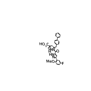 COc1ccc(F)cc1-c1cc(C(=O)N[C@H](Cc2ccc(-c3ccccc3)cc2)C[C@@H](O)C(=O)O)[nH]n1